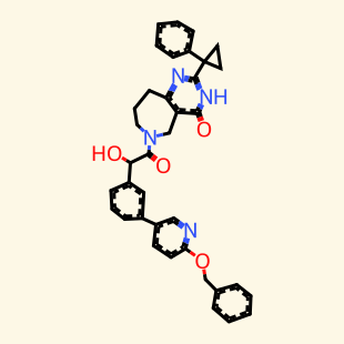 O=C(C(O)c1cccc(-c2ccc(OCc3ccccc3)nc2)c1)N1CCCc2nc(C3(c4ccccc4)CC3)[nH]c(=O)c2C1